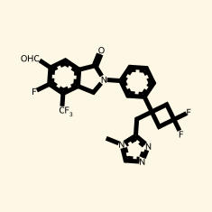 Cn1cnnc1CC1(c2cccc(N3Cc4c(cc(C=O)c(F)c4C(F)(F)F)C3=O)c2)CC(F)(F)C1